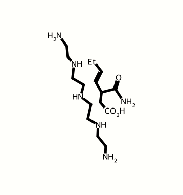 CCC=CC(CC(=O)O)C(N)=O.NCCNCCNCCNCCN